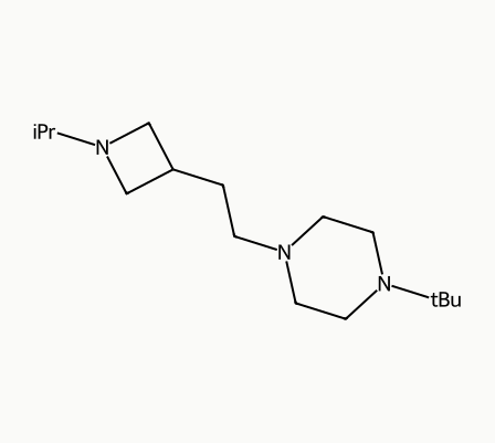 CC(C)N1CC(CCN2CCN(C(C)(C)C)CC2)C1